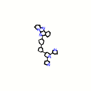 c1cc(-c2ccc(-c3nc4c(nc5ccccn54)c4ccccc34)cc2)cc(-c2cc(-c3cccnc3)nc(-c3cccnc3)c2)c1